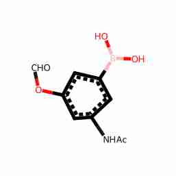 CC(=O)Nc1cc(OC=O)cc(B(O)O)c1